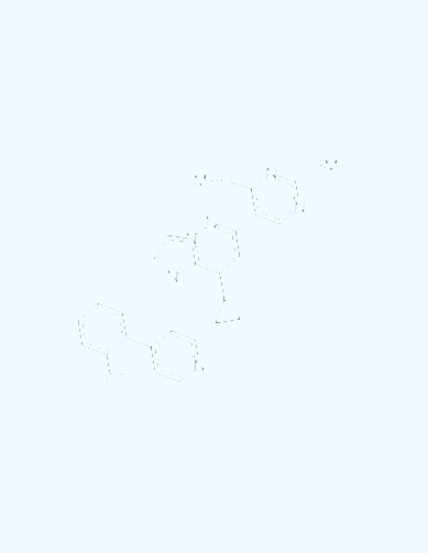 COc1ncc(-c2cc(C3C[C@@H]3c3cc(-c4ccccc4C(F)(F)F)ccn3)c3nccn3n2)c(OC)n1